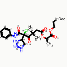 CCCCCCCCCCCCOC(=O)C(C)OC(=O)CC(C)(C)C(=O)C(Cl)(C(=O)Nc1ccccc1)C1CNNN1